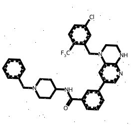 O=C(NC1CCN(Cc2ccccc2)CC1)c1cccc(-c2cnc3c(c2)N(Cc2cc(Cl)ccc2C(F)(F)F)CCN3)c1